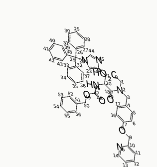 O=C(O)CN(Cc1ccc(OCc2ccccn2)cc1)C(=O)C(Cc1cn(C(c2ccccc2)(c2ccccc2)c2ccccc2)cn1)NC(=O)OCc1ccccc1